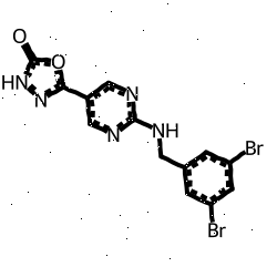 O=c1[nH]nc(-c2cnc(NCc3cc(Br)cc(Br)c3)nc2)o1